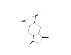 O=C1OC(=O)C2CC3C(=O)OC(=O)C3CC12